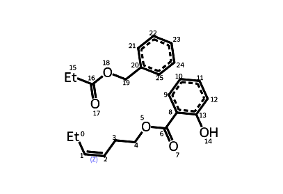 CC/C=C\CCOC(=O)c1ccccc1O.CCC(=O)OCc1ccccc1